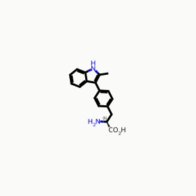 Cc1[nH]c2ccccc2c1-c1ccc(C[C@H](N)C(=O)O)cc1